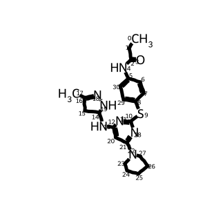 CCC(=O)Nc1ccc(Sc2nc(NC3CC(C)=NN3)cc(N3CCCCC3)n2)cc1